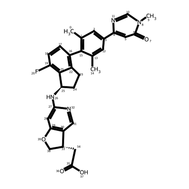 Cc1cc(-c2cc(=O)n(C)cn2)cc(C)c1-c1ccc(F)c2c1CC[C@H]2Nc1cc2c(cn1)[C@H](CC(=O)O)CO2